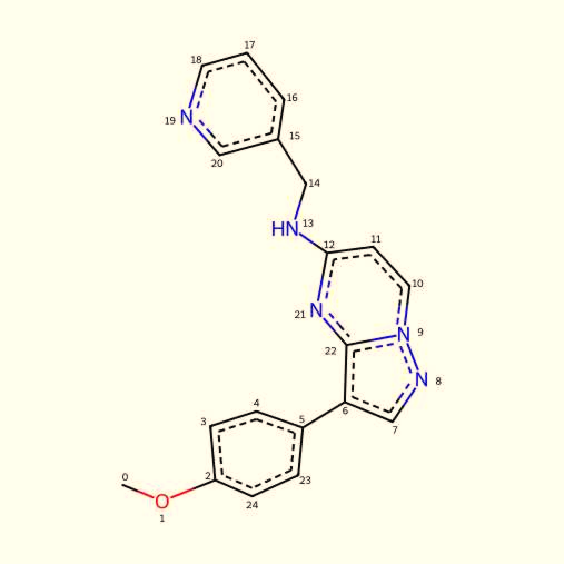 COc1ccc(-c2cnn3ccc(NCc4cccnc4)nc23)cc1